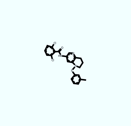 Cc1cccc(SN2CCCc3ncc(NC(=O)c4c(Cl)cccc4Cl)cc32)c1